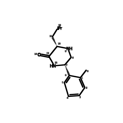 Cc1ccccc1[C@H]1CN[C@@H](CC(C)C)C(=O)N1